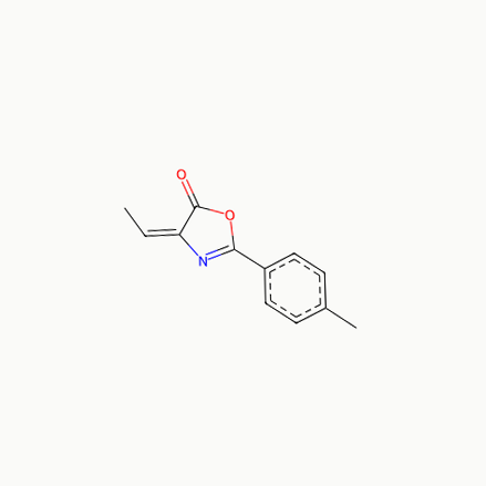 C/C=C1/N=C(c2ccc(C)cc2)OC1=O